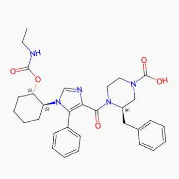 CCNC(=O)O[C@H]1CCCC[C@@H]1n1cnc(C(=O)N2CCN(C(=O)O)C[C@H]2Cc2ccccc2)c1-c1ccccc1